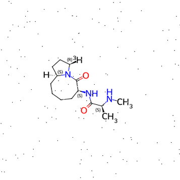 [3H][C@@H]1CC[C@@H]2CCCC[C@H](NC(=O)[C@H](C)NC)C(=O)N21